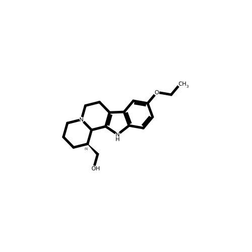 CCOc1ccc2[nH]c3c(c2c1)CCN1CCC[C@H](CO)C31